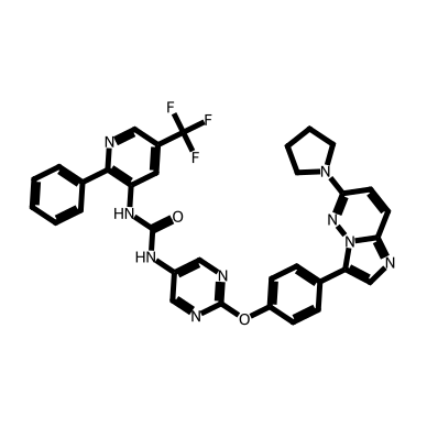 O=C(Nc1cnc(Oc2ccc(-c3cnc4ccc(N5CCCC5)nn34)cc2)nc1)Nc1cc(C(F)(F)F)cnc1-c1ccccc1